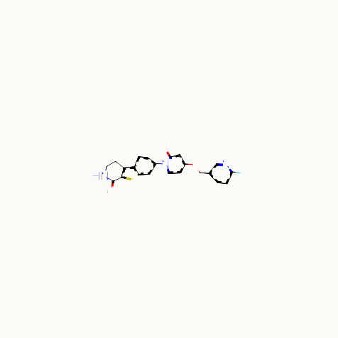 O=C1NCCc2c1sc1cc(-n3ccc(OCc4ccc(F)nc4)cc3=O)ccc21